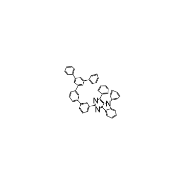 c1ccc(-c2cc(-c3ccccc3)cc(-c3cccc(-c4cccc(-c5nc(-c6ccccc6)c6c(n5)c5ccccc5n6-c5ccccc5)c4)c3)c2)cc1